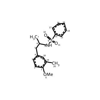 COc1ccc(CC(C)NS(=O)(=O)c2ccccc2)cc1C